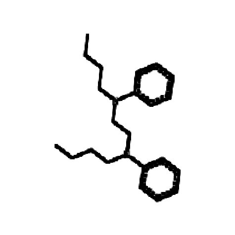 CCCCN(CCN(CCCC)c1ccccc1)c1ccccc1